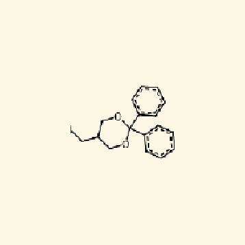 ICC1COC(c2ccccc2)(c2ccccc2)OC1